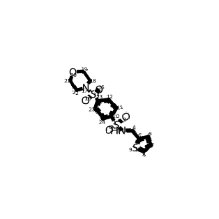 O=S(=O)(NCc1cccs1)c1ccc(S(=O)(=O)N2CCOCC2)cc1